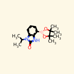 CC(C)n1c(=O)[nH]c2c(B3OC(C)(C)C(C)(C)O3)cccc21